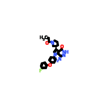 C=CC(=O)N1CCC[C@@H](c2cn(-c3ccc(Oc4cccc(F)c4)cc3)c3c(N)n[nH]c(=O)c23)C1